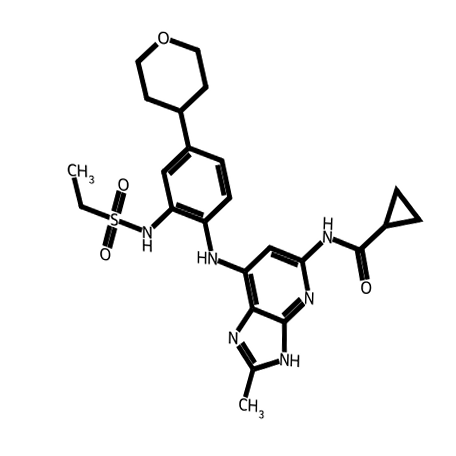 CCS(=O)(=O)Nc1cc(C2CCOCC2)ccc1Nc1cc(NC(=O)C2CC2)nc2[nH]c(C)nc12